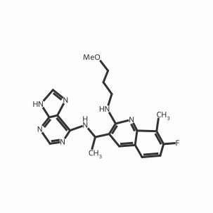 COCCCNc1nc2c(C)c(F)ccc2cc1C(C)Nc1ncnc2[nH]cnc12